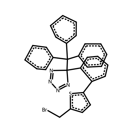 BrCc1ccc(-c2ccccc2C2(C(c3ccccc3)(c3ccccc3)c3ccccc3)N=NN=N2)s1